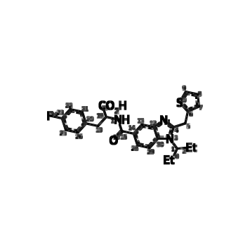 CCC(CC)n1c(Cc2cccs2)nc2cc(C(=O)NC(Cc3ccc(F)cc3)C(=O)O)ccc21